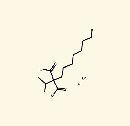 CCCCCCCCC(C(=O)[O-])(C(=O)[O-])C(C)C.[Li+].[Li+]